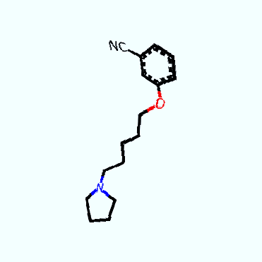 N#Cc1cccc(OCCCCCN2CCCC2)c1